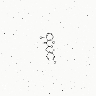 O=C(Cc1ccc(Cl)cc1Cl)Nc1c(Cl)ncnc1Cl